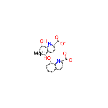 O=C([O-])c1ccc2cccc(O)c2n1.O=C([O-])c1ccc2cccc(O)c2n1.[Mg+2]